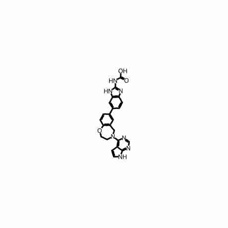 O=C(O)Nc1nc2ccc(-c3ccc4c(c3)CN(c3ncnc5[nH]ccc35)CCO4)cc2[nH]1